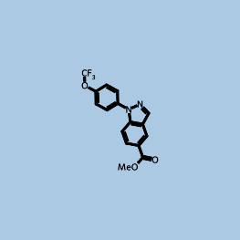 COC(=O)c1ccc2c(cnn2-c2ccc(OC(F)(F)F)cc2)c1